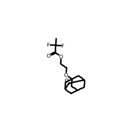 CC(F)(F)C(=O)OCCOC12CC3CC(C1)C(=O)C(C3)C2